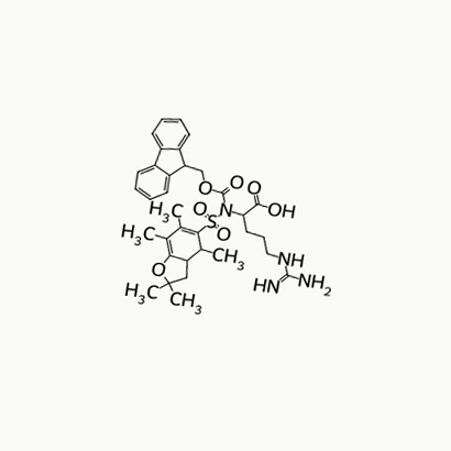 CC1=C2OC(C)(C)CC2C(C)C(S(=O)(=O)N(C(=O)OCC2c3ccccc3-c3ccccc32)C(CCCNC(=N)N)C(=O)O)=C1C